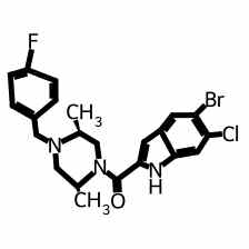 C[C@@H]1CN(Cc2ccc(F)cc2)[C@@H](C)CN1C(=O)c1cc2cc(Br)c(Cl)cc2[nH]1